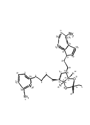 CC1(C)O[C@@H]2[C@@H](CCCCc3cccc(N)n3)C[C@@H](CCC3C=Cc4c(N)ncnc43)[C@@H]2O1